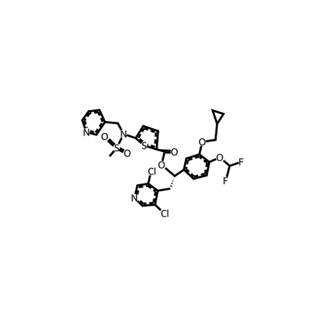 CS(=O)(=O)N(Cc1cccnc1)c1ccc(C(=O)O[C@@H](Cc2c(Cl)cncc2Cl)c2ccc(OC(F)F)c(OCC3CC3)c2)s1